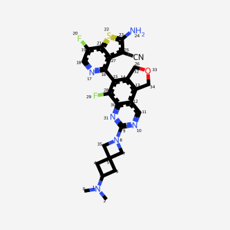 CN(C)C1CC2(C1)CN(c1ncc3c4c(c(-c5ncc(F)c6sc(N)c(C#N)c56)c(F)c3n1)COC4)C2